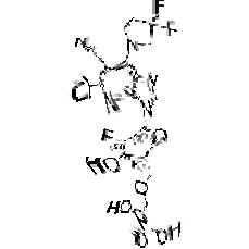 N#Cc1c(Cl)nc2c(ncn2[C@@H]2O[C@H](COCP(=O)(O)O)[C@@H](O)[C@@H]2F)c1N1CCC(F)(F)C1